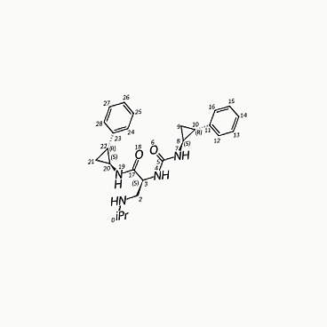 CC(C)NC[C@H](NC(=O)N[C@H]1C[C@@H]1c1ccccc1)C(=O)N[C@H]1C[C@@H]1c1ccccc1